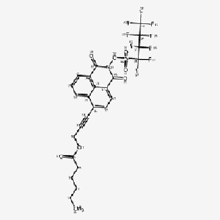 CCCCCC(=O)OCC#Cc1ccc2c3c(cccc13)C(=O)N(OS(=O)(=O)C(F)(F)C(F)(F)C(F)(F)C(F)(F)F)C2=O